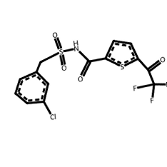 O=C(NS(=O)(=O)Cc1cccc(Cl)c1)c1ccc(C(=O)C(F)(F)F)s1